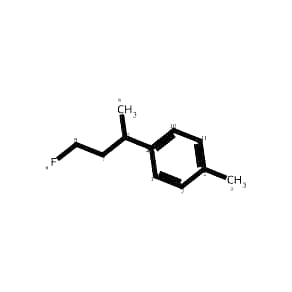 Cc1ccc(C(C)CCF)cc1